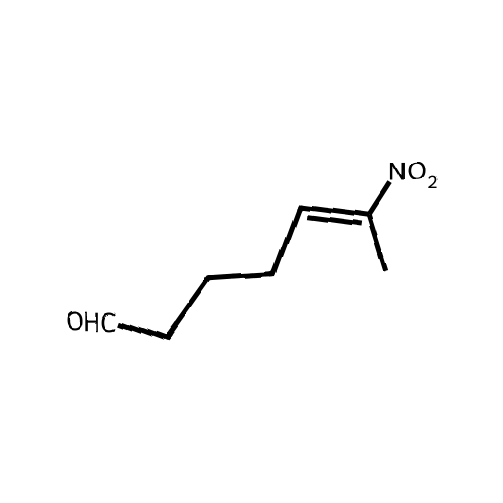 C/C(=C\CCCC=O)[N+](=O)[O-]